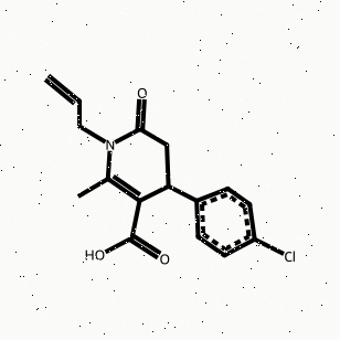 C=CCN1C(=O)CC(c2ccc(Cl)cc2)C(C(=O)O)=C1C